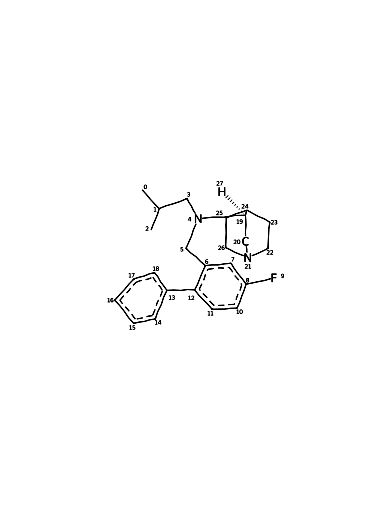 CC(C)CN(Cc1cc(F)ccc1-c1ccccc1)[C@@H]1CN2CCC1CC2